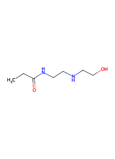 CCC(=O)NCCNCCO